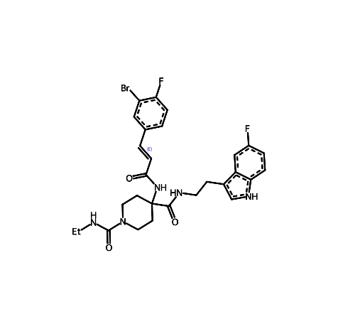 CCNC(=O)N1CCC(NC(=O)/C=C/c2ccc(F)c(Br)c2)(C(=O)NCCc2c[nH]c3ccc(F)cc23)CC1